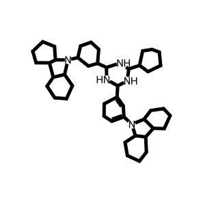 C1=C(C2NC(C3CCCCC3)NC(C3CCCC(N4C5CCCCC5C5CCCCC54)C3)N2)CCC=C1N1C2CCCCC2C2CCCCC21